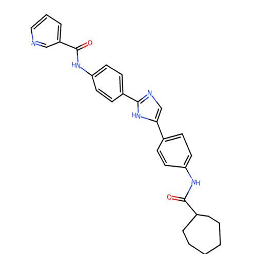 O=C(Nc1ccc(-c2ncc(-c3ccc(NC(=O)C4CCCCCC4)cc3)[nH]2)cc1)c1cccnc1